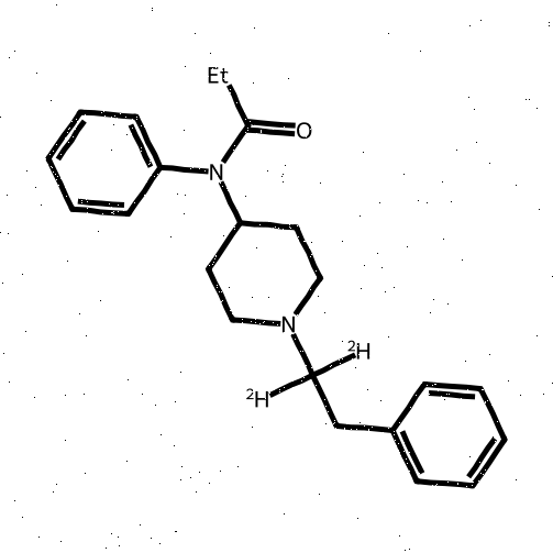 [2H]C([2H])(Cc1ccccc1)N1CCC(N(C(=O)CC)c2ccccc2)CC1